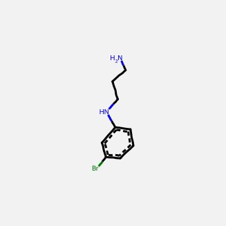 NCCCNc1cccc(Br)c1